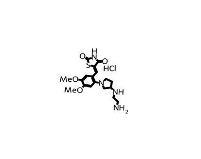 COc1cc(/C=C2\SC(=O)NC2=O)c(N2CCC(NCCN)C2)cc1OC.Cl